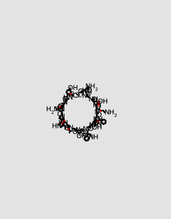 CC(C)C[C@@H]1NC(=O)[C@@H](Cc2c[nH]cn2)NC(=O)[C@@H]2CCCN2C(=O)[C@@H](CC(N)=O)NC(=O)C(C)N(C)C(=O)[C@H](Cc2ccc(O)cc2)NC(=O)CSC[C@H](C(=O)NCC(N)=O)NC(=O)[C@H](C)NC(=O)[C@@H](CC(=O)O)N(C)C(=O)[C@@H](CCCCN)N(C)C(=O)[C@H](Cc2c[nH]c3ccccc23)NC(=O)[C@H](CO)NC(=O)[C@@H](CCc2c[nH]c3ccccc23)NC(=O)C2C[C@@H](O)CN2C1=O